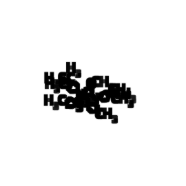 COc1cc2c3c(c1)N(c1ccc(C(C)(C)C)cc1)c1c(sc4ccc(C)cc14)B3c1ccc(C)cc1N2c1ccc(C(C)(C)C)cc1